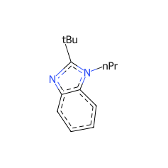 CCCn1c(C(C)(C)C)nc2ccccc21